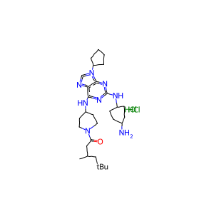 CC(CC(=O)N1CCC(Nc2nc(NC3CCC(N)CC3)nc3c2ncn3C2CCCC2)CC1)CC(C)(C)C.Cl.Cl